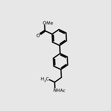 COC(=O)c1cccc(-c2ccc(CC(C)NC(C)=O)cc2)c1